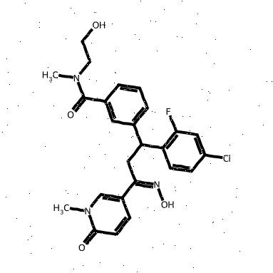 CN(CCO)C(=O)c1cccc(C(C/C(=N/O)c2ccc(=O)n(C)c2)c2ccc(Cl)cc2F)c1